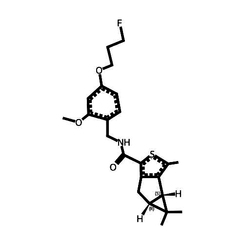 COc1cc(OCCCF)ccc1CNC(=O)c1sc(C)c2c1C[C@@H]1[C@H]2C1(C)C